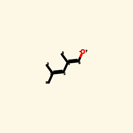 CC(C)=C/C(C)=C/[O]